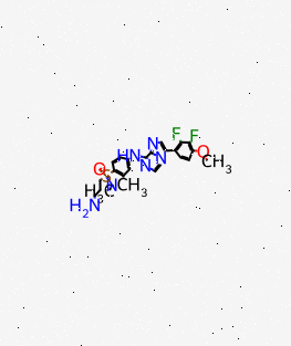 CN=S(=O)(CCCN)c1ccc(Nc2nccn3c(-c4ccc(OC)c(F)c4F)cnc23)cc1C